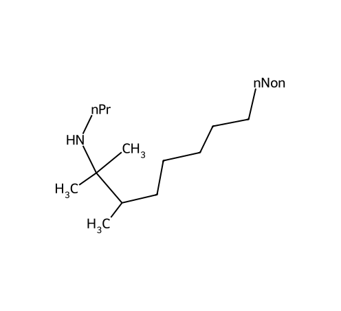 CCCCCCCCCCCCCCC(C)C(C)(C)NCCC